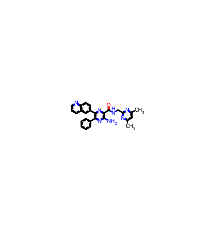 Cc1cc(C)nc(CNC(=O)c2nc(-c3ccc4ncccc4c3)c(-c3ccccc3)nc2N)n1